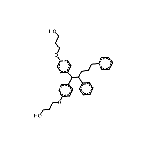 OCCCOc1ccc(C(c2ccc(OCCCO)cc2)C(CCCc2ccccc2)c2ccccc2)cc1